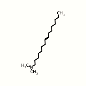 CCCCCCC/C=C/CCCCCCCN(C)C